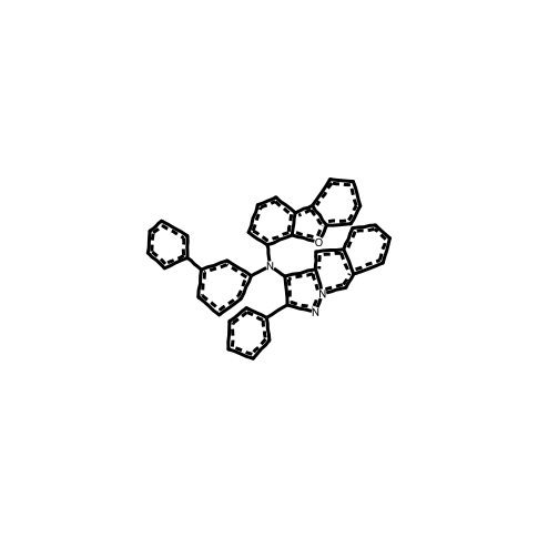 c1ccc(-c2cccc(N(c3cccc4c3oc3ccccc34)c3c(-c4ccccc4)nn4cc5ccccc5cc34)c2)cc1